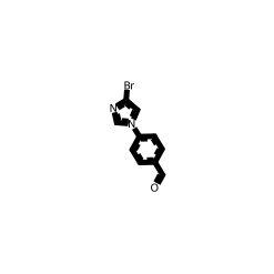 O=Cc1ccc(-n2cnc(Br)c2)cc1